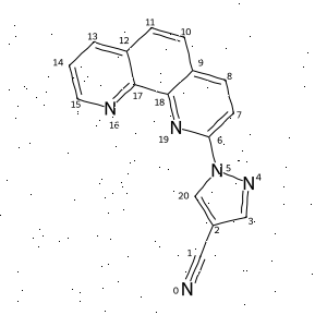 N#Cc1cnn(-c2ccc3ccc4cccnc4c3n2)c1